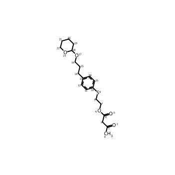 CC(=O)CC(=O)OCCSc1ccc(CCCOC2CCCCO2)cc1